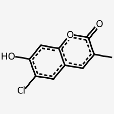 Cc1cc2cc(Cl)c(O)cc2oc1=O